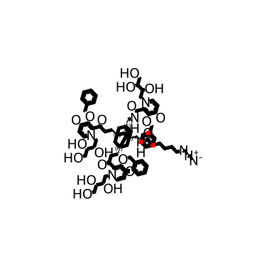 [N-]=[N+]=NCCCCCC(=O)NC[C@]12C[C@]3(CCC(=O)c4c(OCc5ccccc5)c(=O)ccn4CC(O)C(O)CO)C[C@](CCC(=O)c4c(OCc5ccccc5)c(=O)ccn4CC(O)C(O)CO)(C1)C[C@@](CNC(=O)c1c(OCc4ccccc4)c(=O)ccn1CC(O)C(O)CO)(C3)C2